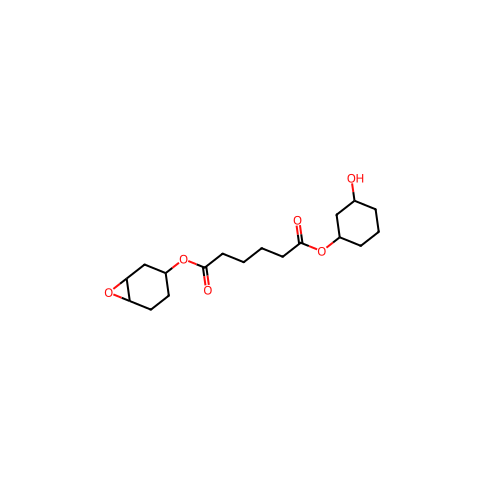 O=C(CCCCC(=O)OC1CCC2OC2C1)OC1CCCC(O)C1